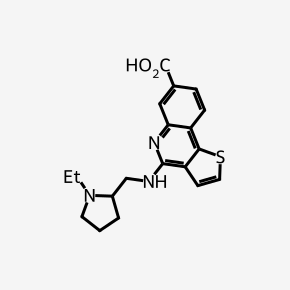 CCN1CCCC1CNc1nc2cc(C(=O)O)ccc2c2sccc12